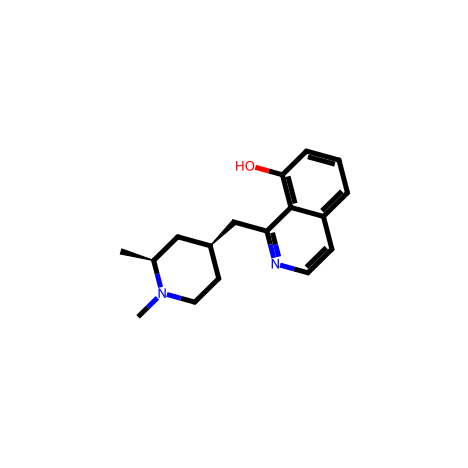 C[C@H]1C[C@@H](Cc2nccc3cccc(O)c23)CCN1C